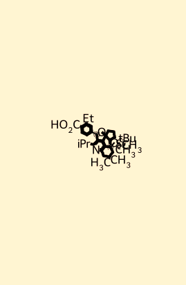 CCc1cc([C@H]2OC3(CCCC3I)c3c2c(C(C)C)nc2c3[C@@H](O[Si](C)(C)C(C)(C)C)CC(C)(C)C2)ccc1C(=O)O